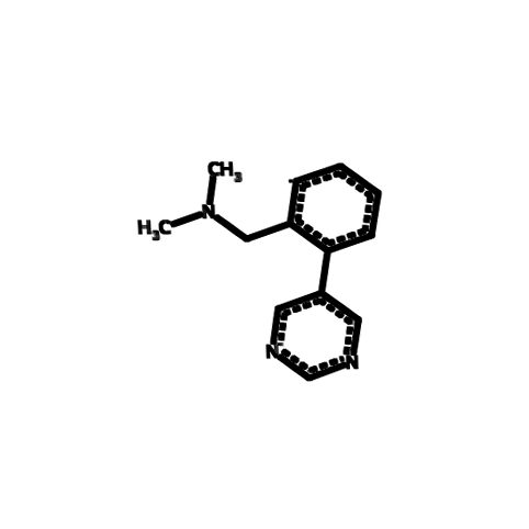 CN(C)Cc1[c]cccc1-c1cncnc1